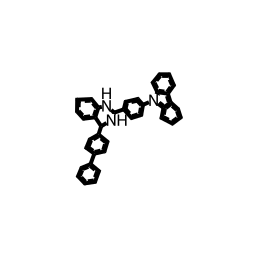 c1ccc(-c2ccc(C3NC(c4ccc(-n5c6ccccc6c6ccccc65)cc4)Nc4ccccc43)cc2)cc1